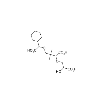 CC(C)(COC(C(=O)O)C1CCCCC1)C(OCC(O)C(=O)O)C(=O)O